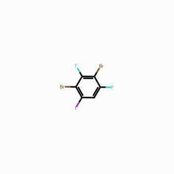 Fc1cc(I)c(Br)c(F)c1Br